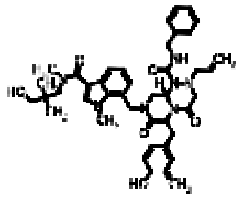 C=C/C=C(\C=C/CO)C[C@H]1C(=O)N(Cc2cccc3c(C(=O)N(C)CC(C)(C)CO)cn(C)c23)C[C@H]2N1C(=O)CN(CC=C)N2C(=O)NCc1ccccc1